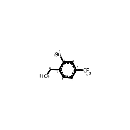 CCC(C)c1cc(C(F)(F)F)ccc1CO